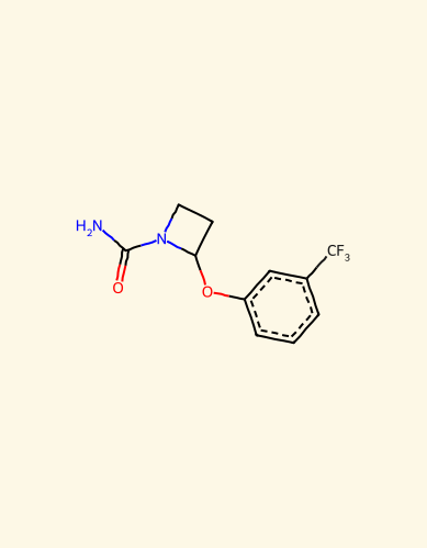 NC(=O)N1CCC1Oc1cccc(C(F)(F)F)c1